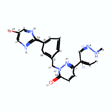 C/C=C(\C=N/NC)c1ccc(=O)n(Cc2cccc(-c3ncc(Br)cn3)c2)n1